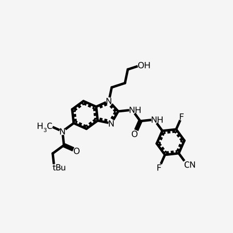 CN(C(=O)CC(C)(C)C)c1ccc2c(c1)nc(NC(=O)Nc1cc(F)c(C#N)cc1F)n2CCCO